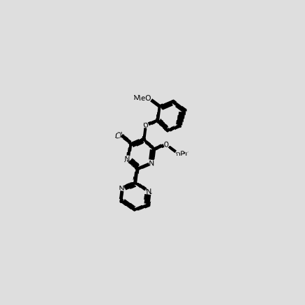 CCCOc1nc(-c2ncccn2)nc(Cl)c1Oc1ccccc1OC